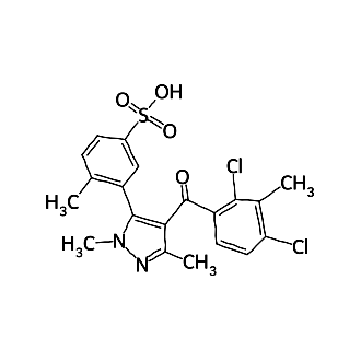 Cc1ccc(S(=O)(=O)O)cc1-c1c(C(=O)c2ccc(Cl)c(C)c2Cl)c(C)nn1C